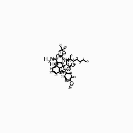 CCCCCC(C)CC(C=O)C(c1ccccc1)([C@@H](NC(=O)OC(C)(C)C)[C@H](O)CN)S(=O)(=O)c1ccc(OC)cc1